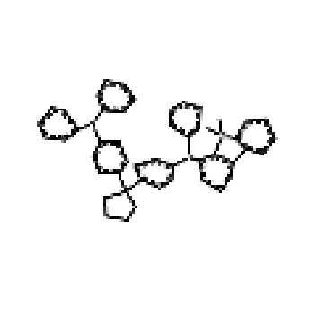 C[Si]1(C)c2ccccc2-c2cccc(N(c3ccccc3)c3ccc(C4(c5ccc(N(c6ccccc6)c6ccccc6)cc5)CCCC4)cc3)c21